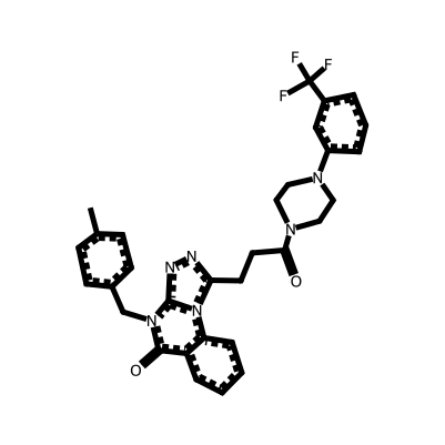 Cc1ccc(Cn2c(=O)c3ccccc3n3c(CCC(=O)N4CCN(c5cccc(C(F)(F)F)c5)CC4)nnc23)cc1